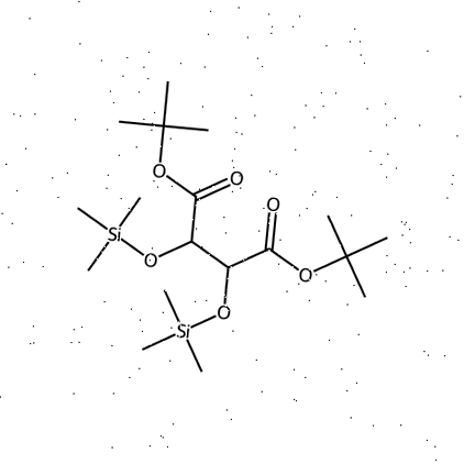 CC(C)(C)OC(=O)C(O[Si](C)(C)C)C(O[Si](C)(C)C)C(=O)OC(C)(C)C